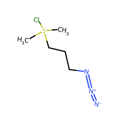 CS(C)(Cl)CCCN=[N+]=[N-]